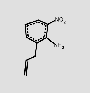 C=CCc1cccc([N+](=O)[O-])c1N